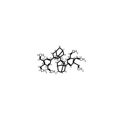 C=Cc1cc(C23CC4CC(C2)CC(C25CC6CC(CC(c7cc(C=C)c(C=C)c(C=C)c7)(C6)C2)C5)(C4)C3)cc(C=C)c1C=C